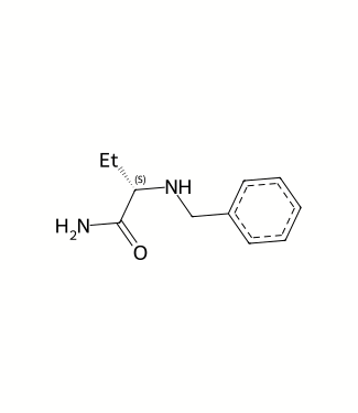 CC[C@H](NCc1ccccc1)C(N)=O